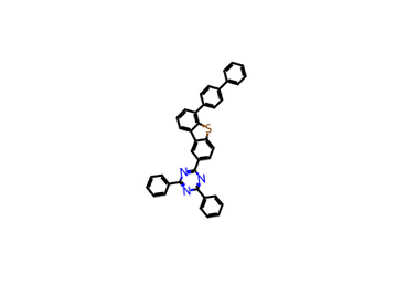 c1ccc(-c2ccc(-c3cccc4c3sc3ccc(-c5nc(-c6ccccc6)nc(-c6ccccc6)n5)cc34)cc2)cc1